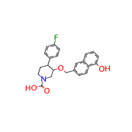 O=C(O)N1CCC(c2ccc(F)cc2)C(OCc2ccc3c(O)cccc3c2)C1